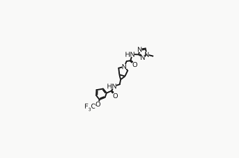 Cn1cnc(NC(=O)CN2CC3C(CNC(=O)c4cccc(OC(F)(F)F)c4)C3C2)n1